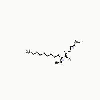 CCCCCCC/C=C/COC(=O)/C(CCCCCCCC[N+](=O)[O-])=N/O